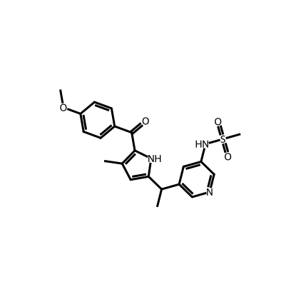 COc1ccc(C(=O)c2[nH]c(C(C)c3cncc(NS(C)(=O)=O)c3)cc2C)cc1